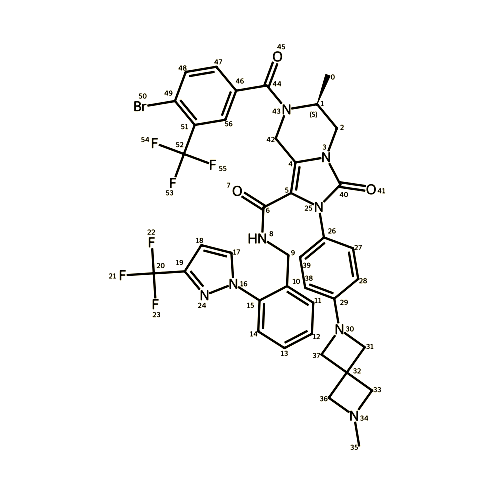 C[C@H]1Cn2c(c(C(=O)NCc3ccccc3-n3ccc(C(F)(F)F)n3)n(-c3ccc(N4CC5(CN(C)C5)C4)cc3)c2=O)CN1C(=O)c1ccc(Br)c(C(F)(F)F)c1